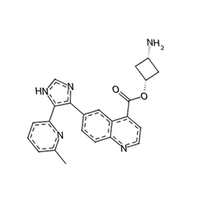 Cc1cccc(-c2[nH]cnc2-c2ccc3nccc(C(=O)O[C@H]4C[C@@H](N)C4)c3c2)n1